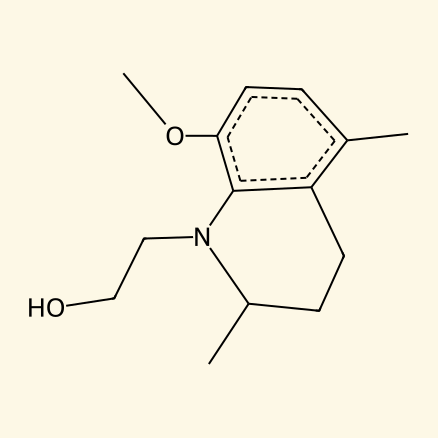 COc1ccc(C)c2c1N(CCO)C(C)CC2